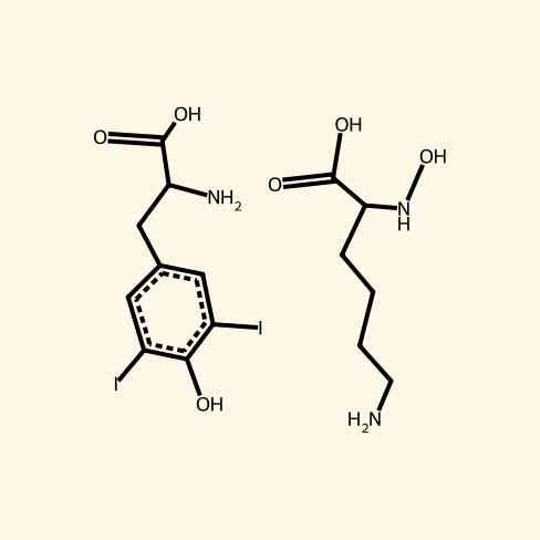 NC(Cc1cc(I)c(O)c(I)c1)C(=O)O.NCCCCC(NO)C(=O)O